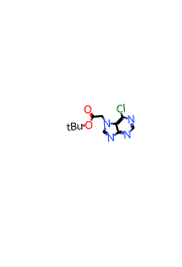 CC(C)(C)OC(=O)Cn1cnc2ncnc(Cl)c21